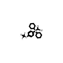 FC(F)(F)Oc1ccc([PH]([CH](Cl)[Pd])(C2CCCCC2)C2CCCCC2)cc1